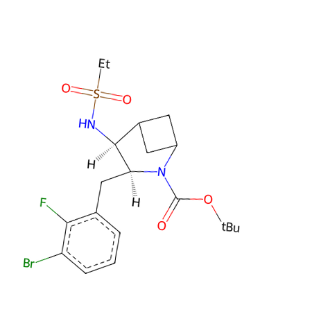 CCS(=O)(=O)N[C@H]1C2CC(C2)N(C(=O)OC(C)(C)C)[C@H]1Cc1cccc(Br)c1F